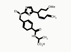 C=C/C=C\C(CCOC)c1csc(N(CC)CC2=CCC(C(=O)NC(C)C(=O)O)C=C2)n1